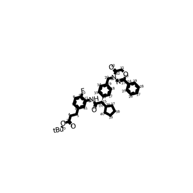 CC(C)(C)OC(=O)CCc1ccc(F)c(NC(=O)[C@H](c2ccc(CN3N=C(c4ccccc4)OCC3=O)cc2)C2CCCC2)c1